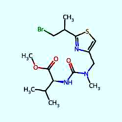 COC(=O)[C@@H](NC(=O)N(C)Cc1csc(C(C)CBr)n1)C(C)C